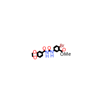 COC(=O)c1cc(NC(=O)NC(=O)c2ccc3c(c2)OCCO3)ccc1Br